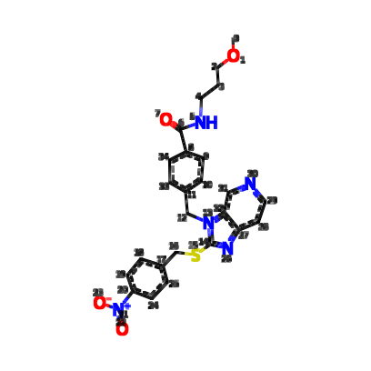 COCCCNC(=O)c1ccc(Cn2c(SCc3ccc([N+](=O)[O-])cc3)nc3ccncc32)cc1